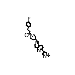 Cn1cc(-c2ccc3c(ccn3CC3CCN(C(=O)CCc4ccc(F)cc4)CC3)n2)cn1